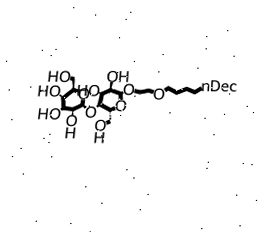 CCCCCCCCCCCCCCOCCO[C@H]1O[C@H](CO)[C@@H](O[C@@H]2O[C@H](CO)[C@@H](O)[C@H](O)[C@H]2O)[C@H](O)[C@H]1O